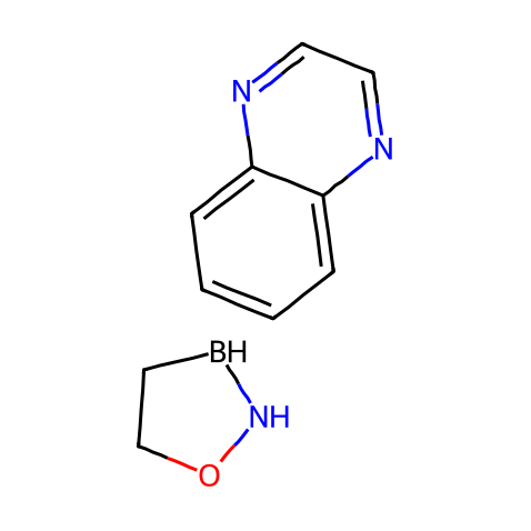 B1CCON1.c1ccc2nccnc2c1